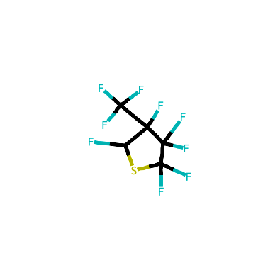 FC1SC(F)(F)C(F)(F)C1(F)C(F)(F)F